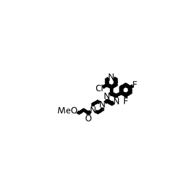 COCCC(=O)N1CCN(c2cnc(-c3ccc(F)cc3F)c(-c3ccncc3Cl)n2)CC1